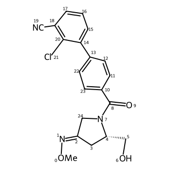 CO/N=C1\C[C@@H](CO)N(C(=O)c2ccc(-c3cccc(C#N)c3Cl)cc2)C1